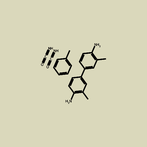 Cc1cc(-c2ccc(N)c(C)c2)ccc1N.Cc1ccccc1.N=C=O.N=C=O